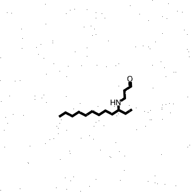 CCCCCCCCCC(CC)NCCC=O